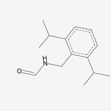 CC(C)c1cccc(C(C)C)c1CNC=O